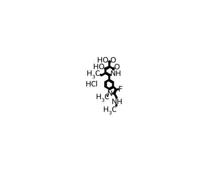 CCNCc1c(F)c2cc(-c3[nH]c(=O)c(C(=O)O)c(O)c3CC)ccc2n1C.Cl